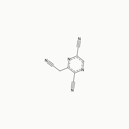 N#CCc1nc(C#N)cnc1C#N